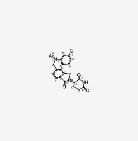 [CH2]C(=O)N(Cc1ccc2c(c1)CN(C1CCC(=O)NC1=O)C2=O)c1cccc(Cl)c1